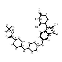 Cn1c(=O)n(C2CCC(=O)NC2=O)c2ccc(CN3CCC(CC4CCN(C(=O)OC(C)(C)C)CC4)CC3)cc21